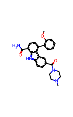 COc1ccccc1-c1ccc(C(N)=O)c2[nH]c3ccc(C(=O)N4CCN(C)CC4)cc3c12